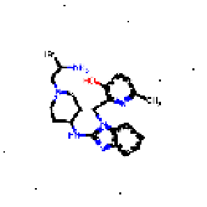 Cc1ccc(O)c(Cn2c(NC3CCN(CC(N)C(C)C)CC3)nc3ccccc32)n1